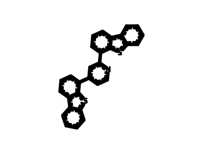 c1ccc2c(c1)sc1c(-c3ccnc(-c4cccc5c4sc4ccccc45)c3)cccc12